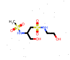 CS(=O)(=O)NC(CO)CS(=O)(=O)NCCO